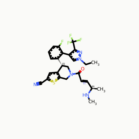 CCn1cc(-c2c(F)cccc2[C@@H]2CN(C(=O)/C=C/[C@@H](C)NC)Cc3sc(C#N)cc32)c(C(F)(F)F)n1